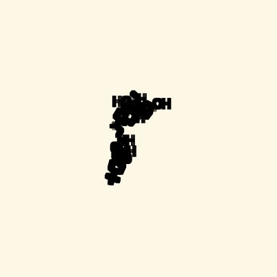 CC[C@H]1[C@@H](O)[C@H]2[C@@H]3CCC([C@H](C)CCNC(=O)NS(=O)(=O)c4ccc(C(C)(C)C)cc4)C3(C)CC[C@@H]2[C@@]2(C)CC[C@@H](O)C[C@@H]12